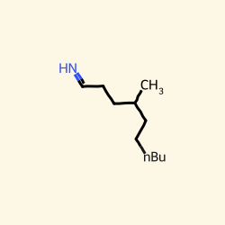 CCCCCCC(C)CCC=N